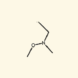 [CH2]CN(C)OC